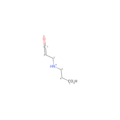 O=C=CCNCCC(=O)O